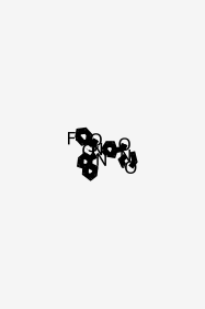 O=C(c1ccc2c(c1)nc(-c1cccc3ccccc13)n2S(=O)(=O)c1cccc(F)c1)N1CCOCC1